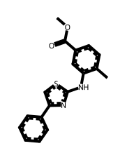 COC(=O)c1ccc(C)c(Nc2nc(-c3ccccc3)cs2)c1